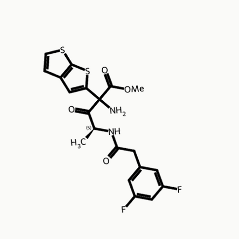 COC(=O)C(N)(C(=O)[C@H](C)NC(=O)Cc1cc(F)cc(F)c1)c1cc2ccsc2s1